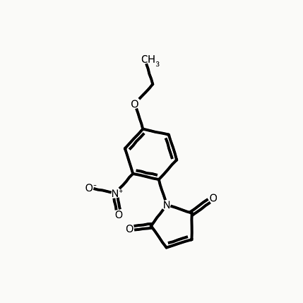 CCOc1ccc(N2C(=O)C=CC2=O)c([N+](=O)[O-])c1